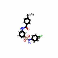 CNc1ccc(C(=O)Nc2cccc(S(=O)(=O)Nc3ccc(Br)cc3)c2)cc1